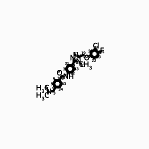 CN(C)Cc1ccc(C(=O)Nc2ccc(-c3nnc(COc4ccc(F)c(Cl)c4)n3C)cc2)cc1